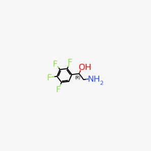 NC[C@H](O)c1cc(F)c(F)c(F)c1F